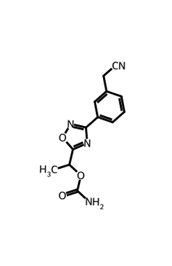 CC(OC(N)=O)c1nc(-c2cccc(CC#N)c2)no1